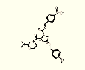 COc1ccc(CS[C@H]2C[C@@H](C(=O)N3CCN=C(N(C)C)C3)N(C(=O)OCc3ccc([N+](=O)[O-])cc3)C2)cc1